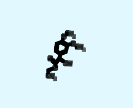 CCOC(=O)C(O)c1ccc(OC)c(OC)c1